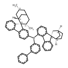 C[C@@H]1CC2C[C@@H](C1)[C@@]1(c3ccccc3-c3ccc(N(c4cccc(-c5ccccc5)c4)c4cccc5c4-c4ccccc4[C@@]54C[C@H]5CC[C@@H]4C5)cc31)[C@@H](C)C2